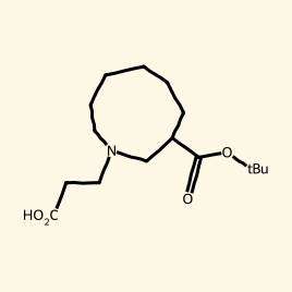 CC(C)(C)OC(=O)C1CCCCCCN(CCC(=O)O)C1